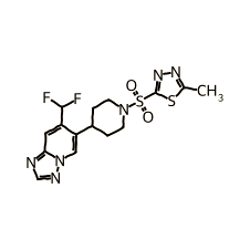 Cc1nnc(S(=O)(=O)N2CCC(c3cn4ncnc4cc3C(F)F)CC2)s1